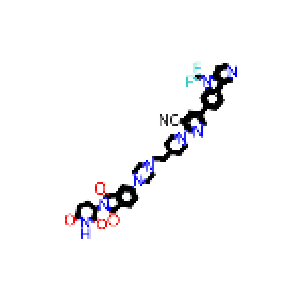 N#Cc1cc(-c2ccc3c4cnccc4n(C(F)F)c3c2)cnc1N1CCC(CCN2CCN(c3ccc4c(c3)C(=O)N(C3CCC(=O)NC3=O)C4=O)CC2)CC1